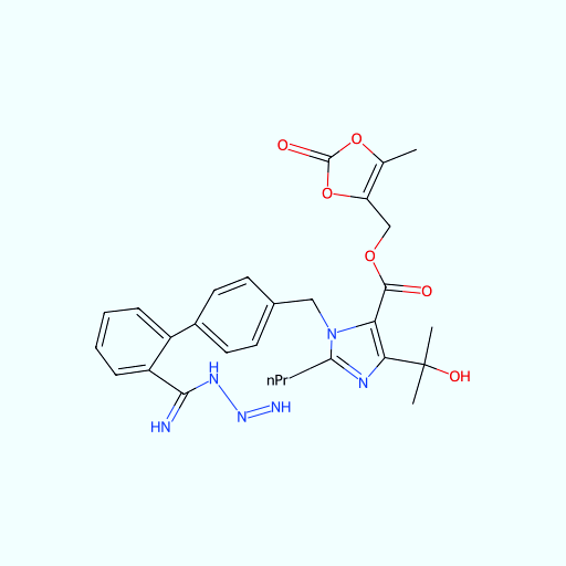 CCCc1nc(C(C)(C)O)c(C(=O)OCc2oc(=O)oc2C)n1Cc1ccc(-c2ccccc2C(=N)NN=N)cc1